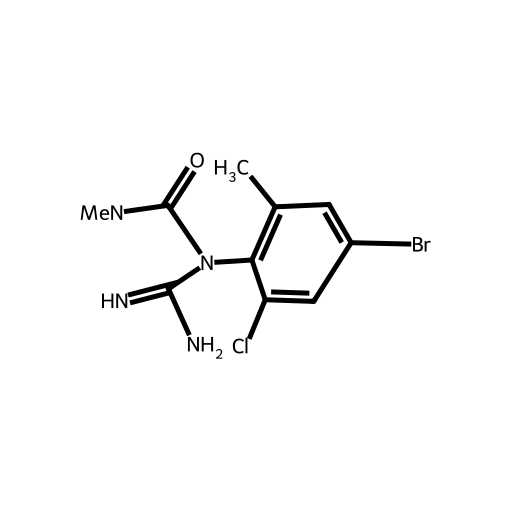 CNC(=O)N(C(=N)N)c1c(C)cc(Br)cc1Cl